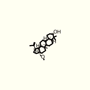 C=C(C)[C@@H]1CC[C@]2(COC)CC[C@]3(C)[C@H](CC[C@@H]4[C@@]5(C)CC[C@H](O)C(C)(C)[C@@H]5CC[C@]43C)[C@@H]12